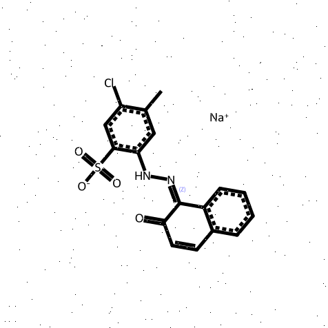 Cc1cc(N/N=C2\C(=O)C=Cc3ccccc32)c(S(=O)(=O)[O-])cc1Cl.[Na+]